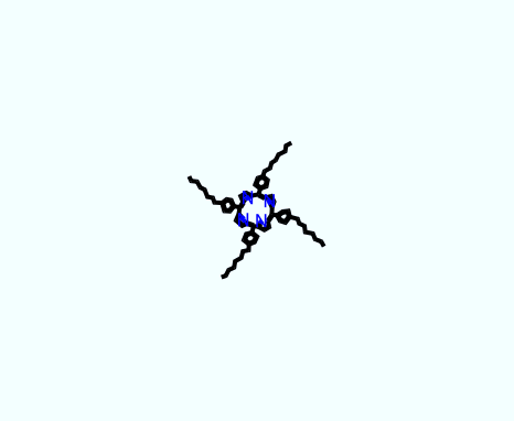 CCCCCCCCc1ccc(C2=C3C=CC(=N3)C(c3ccc(CCCCCCCC)cc3)=C3C=CC(=N3)C(c3ccc(CCCCCCCC)cc3)=C3C=CC(=N3)C(c3ccc(CCCCCCCC)cc3)=C3C=CC2=N3)cc1